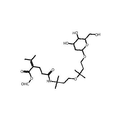 CC(C)=C(CCC(=O)NC(C)(C)CCOC(C)(C)CCOC1CC(O)C(O)C(CO)O1)C(=O)OC=O